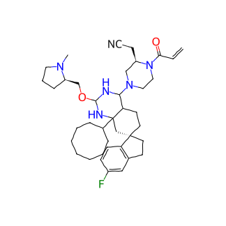 C=CC(=O)N1CCN(C2NC(OC[C@H]3CCCN3C)NC3(C4CCCCCCC4)C[C@@]4(CCc5cc(F)ccc54)CCC23)C[C@H]1CC#N